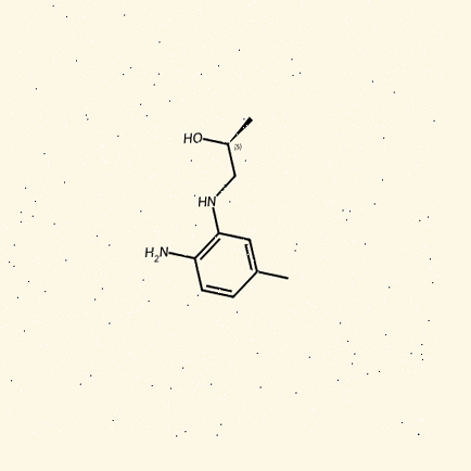 Cc1ccc(N)c(NC[C@H](C)O)c1